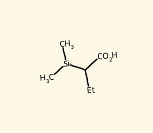 CCC(C(=O)O)[Si](C)C